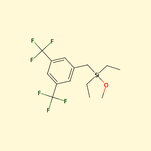 CC[Si](CC)(Cc1cc(C(F)(F)F)cc(C(F)(F)F)c1)OC